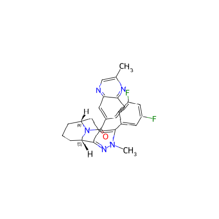 Cc1cnc2cc(C(=O)N3[C@@H]4CCC[C@H]3c3nn(C)c(-c5cc(F)cc(F)c5)c3C4)ccc2n1